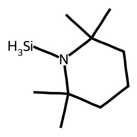 CC1(C)CCCC(C)(C)N1[SiH3]